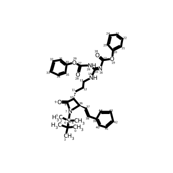 CC(C)(C)[Si](C)(C)N1C(=O)[C@H](CCCNC(=NC(=O)Oc2ccccc2)NC(=O)Oc2ccccc2)[C@H]1C=Cc1ccccc1